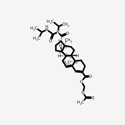 CC(=O)OCOC(=O)C1=CC2=CC[C@H]3[C@@H]4CC[C@H](C(=O)N(C(=O)NC(C)C)C(C)C)[C@@]4(C)CC[C@@H]3[C@@]2(C)CC1